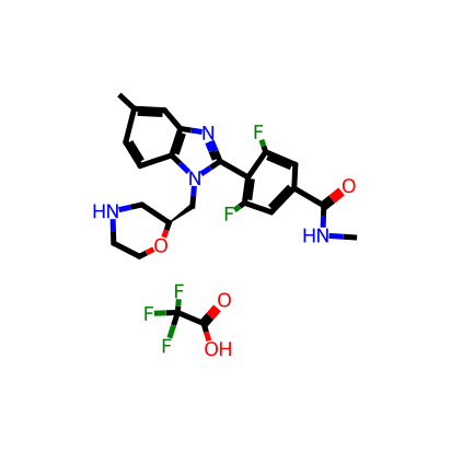 CNC(=O)c1cc(F)c(-c2nc3cc(C)ccc3n2C[C@@H]2CNCCO2)c(F)c1.O=C(O)C(F)(F)F